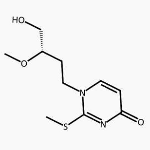 CO[C@H](CO)CCn1ccc(=O)nc1SC